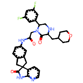 O=C(CN1C(=O)C(CC2CCOCC2)NCC1c1cc(F)cc(F)c1)Nc1ccc2c(c1)CC1(C2)C(=O)Nc2ncccc21